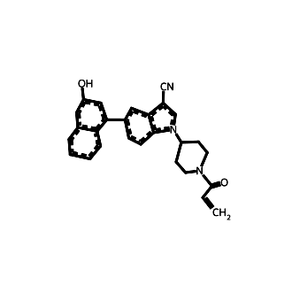 C=CC(=O)N1CCC(n2cc(C#N)c3cc(-c4cc(O)cc5ccccc45)ccc32)CC1